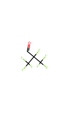 O=CC(F)(C(F)(F)F)C(F)(F)F